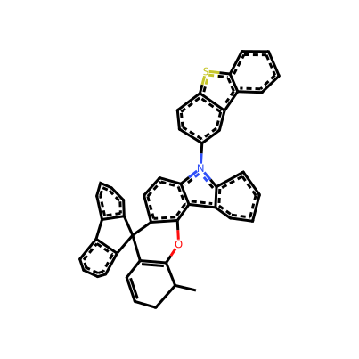 CC1CC=CC2=C1Oc1c(ccc3c1c1ccccc1n3-c1ccc3sc4ccccc4c3c1)C21c2ccccc2-c2ccccc21